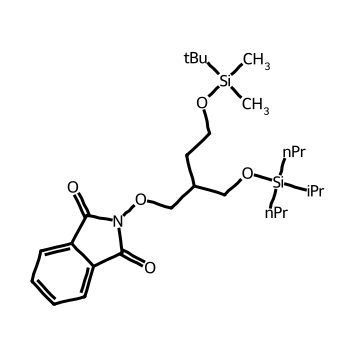 CCC[Si](CCC)(OCC(CCO[Si](C)(C)C(C)(C)C)CON1C(=O)c2ccccc2C1=O)C(C)C